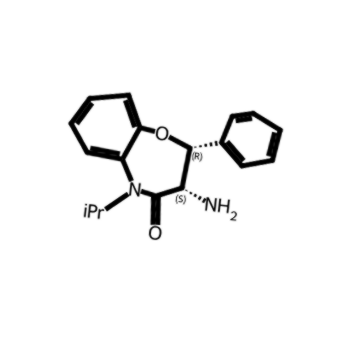 CC(C)N1C(=O)[C@@H](N)[C@@H](c2ccccc2)Oc2ccccc21